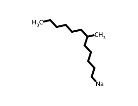 CCCCCCC(C)CCCC[CH2][Na]